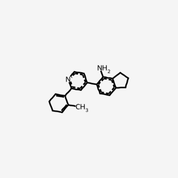 CC1=CCCC=C1c1cc(-c2ccc3c(c2N)CCC3)ccn1